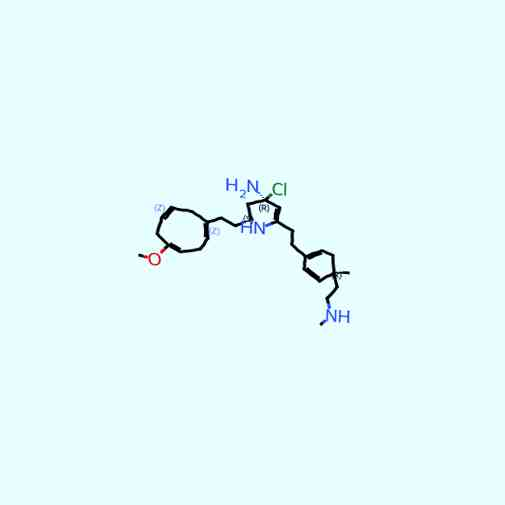 CNCC[C@]1(C)C=CC(CCC2=C[C@](N)(Cl)C[C@H](CC/C3=C/CC=C(OC)C/C=C\C3)N2)=CC1